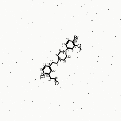 COc1cc(N2CCN(CCc3ccc(F)c(CC=O)c3)CC2)ccc1Br